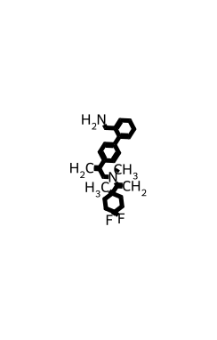 C=C(CN(C)C(=C)C1(C)CCC(F)(F)CC1)c1ccc(C2=CCCC=C2CN)cc1